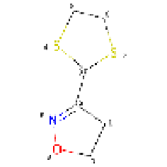 C1CC(C2SCCS2)=NO1